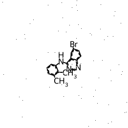 Cc1cccc(Nc2ncnc3ccc(Br)cc23)c1C